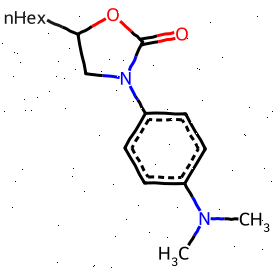 CCCCCCC1CN(c2ccc(N(C)C)cc2)C(=O)O1